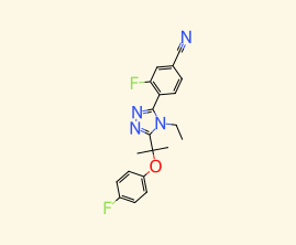 CCn1c(-c2ccc(C#N)cc2F)nnc1C(C)(C)Oc1ccc(F)cc1